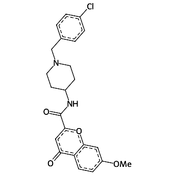 COc1ccc2c(=O)cc(C(=O)NC3CCN(Cc4ccc(Cl)cc4)CC3)oc2c1